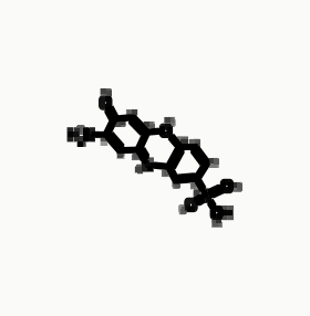 Nc1cc2nc3cc(S(=O)(=O)O)ccc3oc-2cc1=O